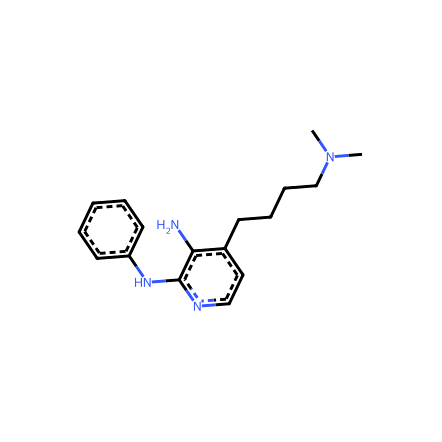 CN(C)CCCCc1ccnc(Nc2ccccc2)c1N